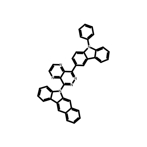 c1ccc(-n2c3ccccc3c3cc(-c4nnc(-n5c6ccccc6c6cc7ccccc7cc65)c5nccnc45)ccc32)cc1